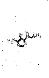 CCNc1ncnc(N)c1Br